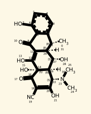 C[C@H]1c2cccc(O)c2C(=O)C2=C(O)[C@]3(O)C(=O)C(C#N)=C(O)[C@@H](N(C)C)[C@@H]3[C@@H](O)[C@@H]21